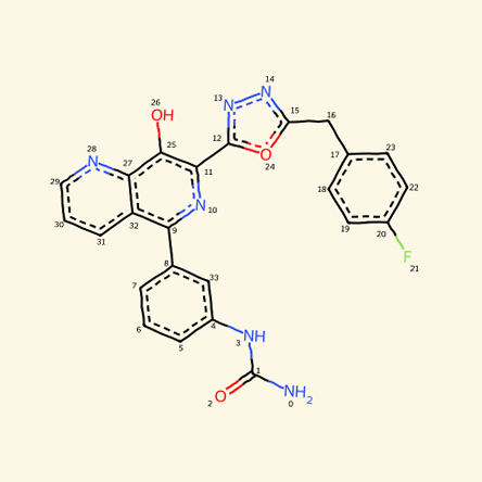 NC(=O)Nc1cccc(-c2nc(-c3nnc(Cc4ccc(F)cc4)o3)c(O)c3ncccc23)c1